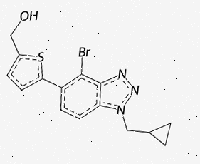 OCc1ccc(-c2ccc3c(nnn3CC3CC3)c2Br)s1